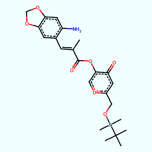 CC(=Cc1cc2c(cc1N)OCO2)C(=O)Oc1coc(CO[Si](C)(C)C(C)(C)C)cc1=O